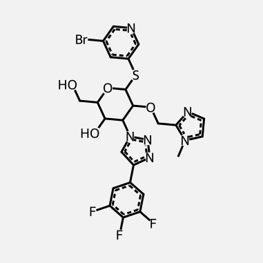 Cn1ccnc1COC1C(Sc2cncc(Br)c2)OC(CO)C(O)C1n1cc(-c2cc(F)c(F)c(F)c2)nn1